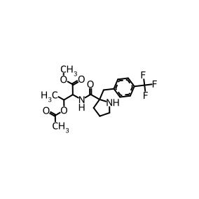 COC(=O)C(NC(=O)C1(Cc2ccc(C(F)(F)F)cc2)CCCN1)C(C)OC(C)=O